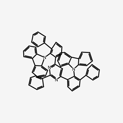 c1ccc(-c2nc(-c3cccc(-c4ccccc4)c3-n3c4ccccc4c4ccccc43)cc(-c3cccc(-c4ccccc4)c3-n3c4ccccc4c4ccccc43)n2)cc1